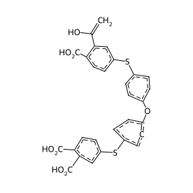 C=C(O)c1cc(Sc2ccc(Oc3ccc(Sc4ccc(C(=O)O)c(C(=O)O)c4)cc3)cc2)ccc1C(=O)O